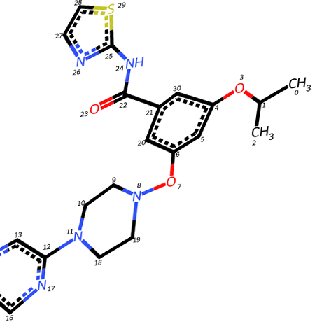 CC(C)Oc1cc(ON2CCN(c3cnccn3)CC2)cc(C(=O)Nc2nccs2)c1